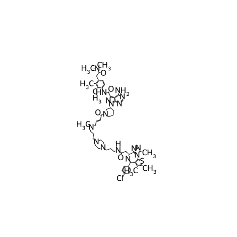 Cc1sc2c(c1C)C(c1ccc(Cl)cc1)=N[C@@H](CC(=O)NCCCN1CCN(CCCN(C)C/C=C/C(=O)N3CCC[C@@H](n4nc(C(=O)Nc5ccc(CC(=O)N(C)C)c(C)c5C)c5c(N)ncnc54)C3)CC1)c1nnc(C)n1-2